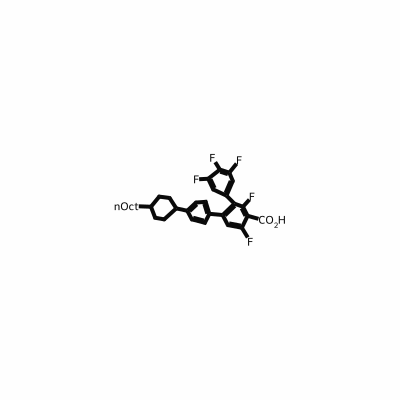 CCCCCCCCC1CCC(c2ccc(-c3cc(F)c(C(=O)O)c(F)c3-c3cc(F)c(F)c(F)c3)cc2)CC1